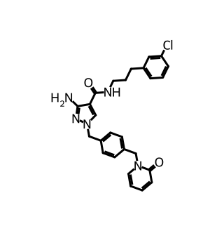 Nc1nn(Cc2ccc(Cn3ccccc3=O)cc2)cc1C(=O)NCCCc1cccc(Cl)c1